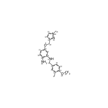 Cc1cc(CNc2cc(OCc3ccn(C)n3)ccc2N)ccc1OC(F)(F)F